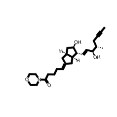 CC#CC[C@H](C)[C@@H](O)/C=C/[C@@H]1[C@H]2CC(=CCCCC(=O)N3CCOCC3)C[C@H]2C[C@H]1O